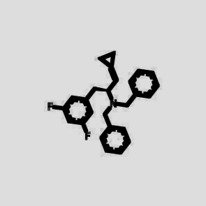 Fc1cc(F)cc(C[C@@H](C=C2CC2)N(Cc2ccccc2)Cc2ccccc2)c1